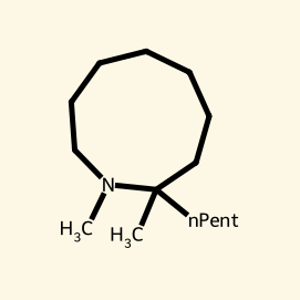 CCCCCC1(C)CCCCCCCN1C